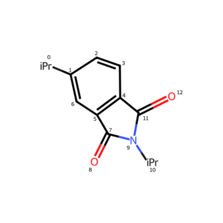 CC(C)c1ccc2c(c1)C(=O)N(C(C)C)C2=O